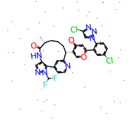 C[C@@H]1CCC[C@H](c2coc(-c3cc(Cl)ccc3-n3cc(Cl)nn3)cc2=O)c2cc(ccn2)-c2c(cnn2C(F)F)NC1=O